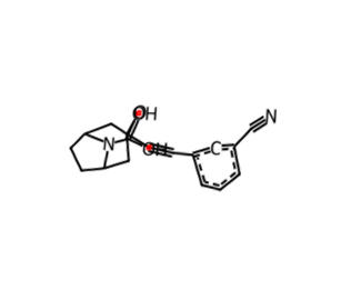 N#Cc1cccc(C#CC2(O)CC3CCC(C2)N3C(=O)O)c1